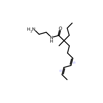 C/C=C\C=C/CCC(C)(CCC)C(=O)NCCN